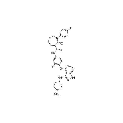 CN1CCC(Nc2n[nH]c3nccc(Oc4ccc(NC(=O)C5CCCCN(c6ccc(F)cc6)C5=O)cc4F)c23)CC1